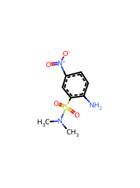 CN(C)S(=O)(=O)c1cc([N+](=O)[O-])ccc1N